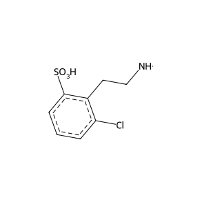 [NH]CCc1c(Cl)cccc1S(=O)(=O)O